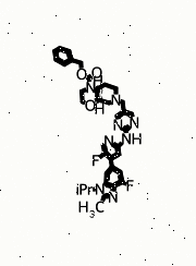 Cc1nc2c(F)cc(-c3cc(Nc4ncc(CN5CC[C@H]6[C@H](C5)OCCN6C(=O)OCc5ccccc5)cn4)ncc3F)cc2n1C(C)C